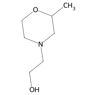 CC1CN(CCO)CCO1